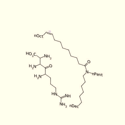 CCCCCCCC/C=C\CCCCCCCC(=O)N(CCCCC)CCCCCCCCCCCCCCCC.N=C(N)NCCCC(N)C(=O)C(N)C(N)C(=O)O